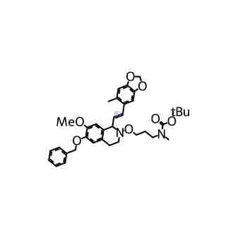 COc1cc2c(cc1OCc1ccccc1)CCN(OCCCN(C)C(=O)OC(C)(C)C)C2/C=C/c1cc2c(cc1C)OCO2